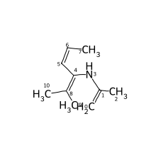 C=C(C)NC(/C=C\C)=C(C)C